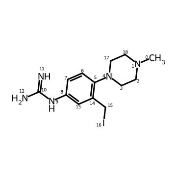 CN1CCN(c2ccc(NC(=N)N)cc2CI)CC1